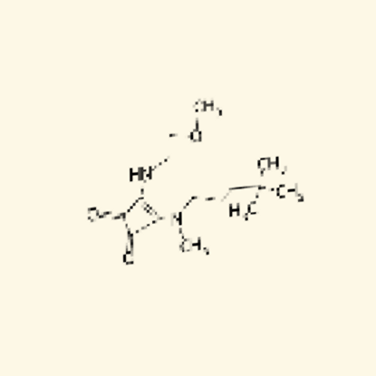 COCCNc1c(N(C)CCCC(C)(C)C)c(=O)c1=O